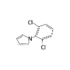 Clc1cccc(Cl)c1-n1c[c]cc1